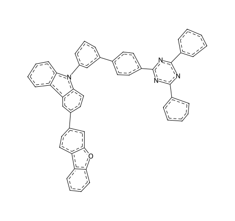 c1ccc(-c2nc(-c3ccccc3)nc(-c3ccc(-c4cccc(-n5c6ccccc6c6cc(-c7ccc8c(c7)oc7ccccc78)ccc65)c4)cc3)n2)cc1